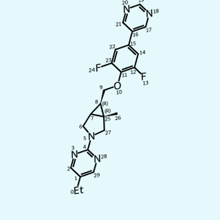 CCc1cnc(N2CC3[C@@H](COc4c(F)cc(-c5cncnc5)cc4F)[C@]3(C)C2)nc1